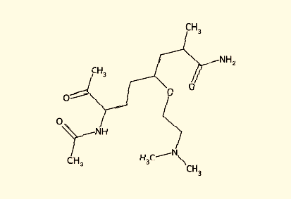 CC(=O)NC(CCC(CC(C)C(N)=O)OCCN(C)C)C(C)=O